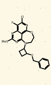 CSc1nc2c3c(nc(Cl)c(F)c3n1)OCCN2C1CCC1OCc1ccccc1